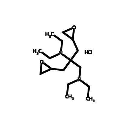 CCN(CC)CC(CC1CO1)(CC1CO1)N(CC)CC.Cl